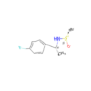 C[C@@H](N[S@+]([O-])C(C)(C)C)c1ccc(F)cc1